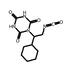 O=C=NCC(C1CCCCC1)n1c(=O)[nH]c(=O)[nH]c1=O